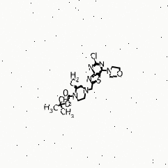 C=C1CN(Cc2nc3nc(Cl)nc(N4CCOCC4)c3s2)CCN1C(=O)OC(C)(C)C